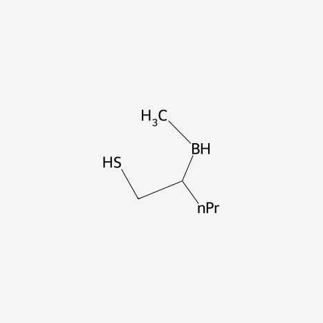 CBC(CS)CCC